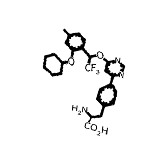 Cc1ccc(C(Oc2cc(-c3ccc(C[C@H](N)C(=O)O)cc3)ncn2)C(F)(F)F)c(OC2CCCCC2)c1